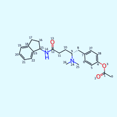 CC(=O)Oc1ccc(C[C@@H](CCC(=O)NC2CCc3ccccc32)N(C)C)cc1